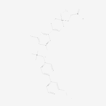 COc1cccc(-c2ccc([C@@H](Oc3cc(C4=CCC5(CC4)CNC(C(=O)O)C5)nc(N)n3)C(F)(F)F)cc2)c1.Cl